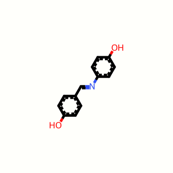 Oc1ccc(C=Nc2ccc(O)cc2)cc1